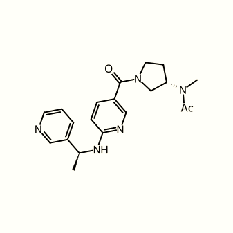 CC(=O)N(C)[C@H]1CCN(C(=O)c2ccc(N[C@@H](C)c3cccnc3)nc2)C1